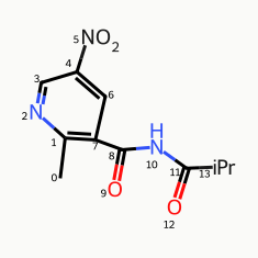 Cc1ncc([N+](=O)[O-])cc1C(=O)NC(=O)C(C)C